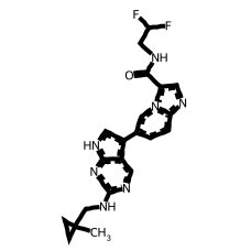 CC1(CNc2ncc3c(-c4ccc5ncc(C(=O)NCC(F)F)n5c4)c[nH]c3n2)CC1